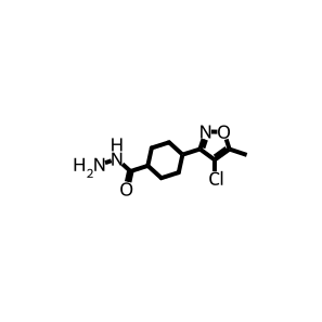 Cc1onc(C2CCC(C(=O)NN)CC2)c1Cl